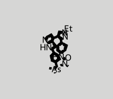 CCn1cc(-c2ccnc3[nH]c(-c4ccc(C[As](C)C)cc4)cc23)c(-c2ccc(NC(=O)N(C)C)cc2)n1